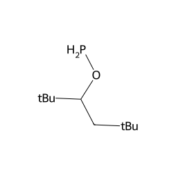 CC(C)(C)CC(OP)C(C)(C)C